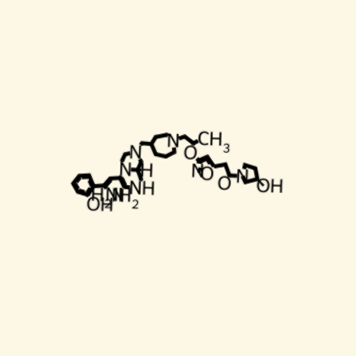 CC(CN1CCCC(CN2CCN3C(/C=C(\N)c4ccccc4O)=C(N)NC[C@H]3C2)CC1)Oc1cc(CC(=O)N2CC[C@@H](O)C2)on1